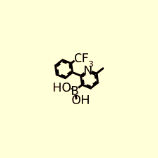 Cc1ccc(B(O)O)c(-c2ccccc2C(F)(F)F)n1